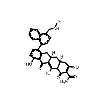 CC(C)NCc1ccc(-c2ccc(O)c3c2C[C@H]2C[C@H]4CC(N=O)=C(C(N)=O)C(=O)C4C(O)=C2C3=O)c2ccccc12